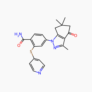 Cc1nn(-c2ccc(C(N)=O)c(Sc3ccncc3)c2)c2c1C(=O)CC(C)(C)C2